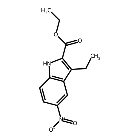 CCOC(=O)c1[nH]c2ccc([N+](=O)[O-])cc2c1CC